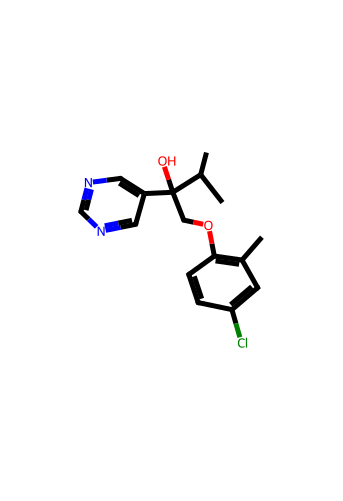 Cc1cc(Cl)ccc1OCC(O)(c1cncnc1)C(C)C